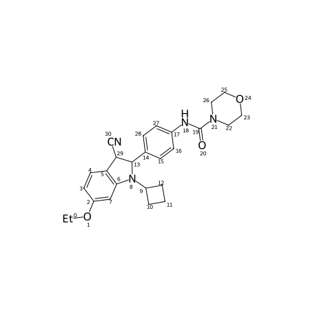 CCOc1ccc2c(c1)N(C1CCC1)C(c1ccc(NC(=O)N3CCOCC3)cc1)C2C#N